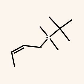 C/C=C\[CH][Si](C)(C)C(C)(C)C